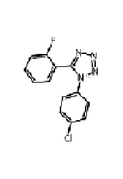 Fc1ccccc1C1=NN=N[N+]1c1ccc(Cl)cc1